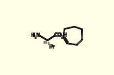 C1=CCCCCC1.CC(C)[C@H](N)C(=O)O